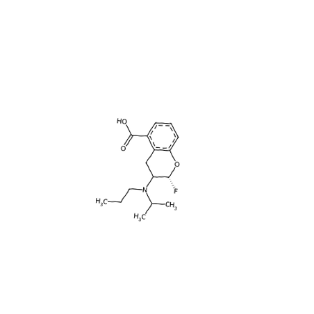 CCCN(C(C)C)C1Cc2c(cccc2C(=O)O)O[C@@H]1F